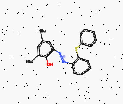 CC(C)(C)c1cc(/N=N/c2ccccc2Sc2ccccc2)c(O)c(C(C)(C)C)c1